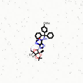 C#C[C@@]12OC(C)(C)O[C@@H]1[C@](CC)(CI)O[C@H]2n1cnc2c(NC(c3ccccc3)(c3ccccc3)c3ccc(OC)cc3)ncnc21